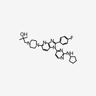 CC(C)(O)CN1CCN(c2ccc3c(n2)nc(-c2ccc(F)cc2)n3-c2ccnc(NC3CCCC3)n2)CC1